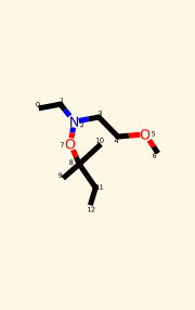 CCN(CCOC)OC(C)(C)CC